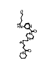 CC(CCC=O)Nc1ccnc(C(=O)N2CCN(CCN(C)CCC(=O)N3CCCCC3)CC2)c1